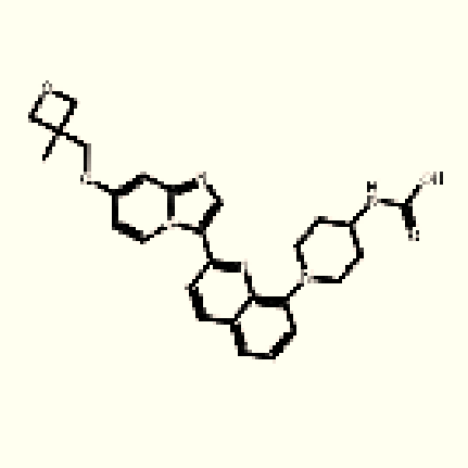 CC1(COc2ccn3c(-c4ccc5cccc(N6CCC(NC(=O)O)CC6)c5n4)cnc3c2)COC1